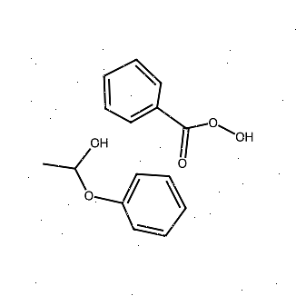 CC(O)Oc1ccccc1.O=C(OO)c1ccccc1